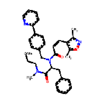 COCCN(C)C(=O)C(Cc1ccccc1)N(Cc1ccc(-c2ccccn2)cc1)C(=O)C=Cc1c(C)noc1C